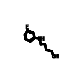 OCCCCNc1cccc(F)c1